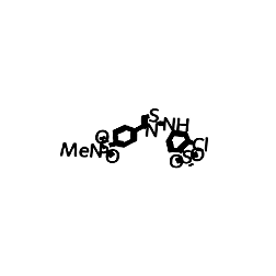 CNS(=O)(=O)c1ccc(-c2csc(Nc3ccc(S(C)(=O)=O)c(Cl)c3)n2)cc1